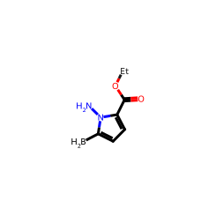 Bc1ccc(C(=O)OCC)n1N